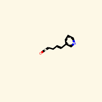 O=C=CCC=Cc1cccnc1